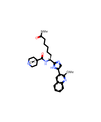 CNC(=O)CCCCC[C@H](NC(=O)C12CCN(CC1)CC2)c1ncc(-c2cc3ccccc3nc2OC)[nH]1